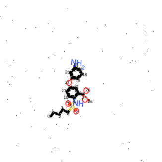 CCCCCS(=O)(=O)Nc1ccc(Oc2cccc(N)c2)cc1C(=O)OC